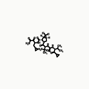 CC(C)[C@H](NC(=O)N[C@H](C(=O)N1C[C@H]2[C@@H]([C@H]1C(=O)NC(CC1CC1)C(=O)C(N)=O)C2(Cl)Cl)C(C)(C)C)C(=O)C1CC1